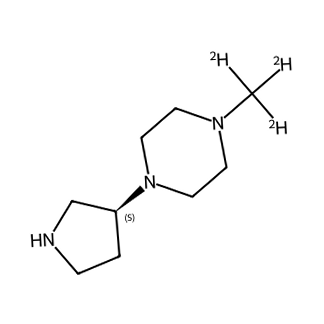 [2H]C([2H])([2H])N1CCN([C@H]2CCNC2)CC1